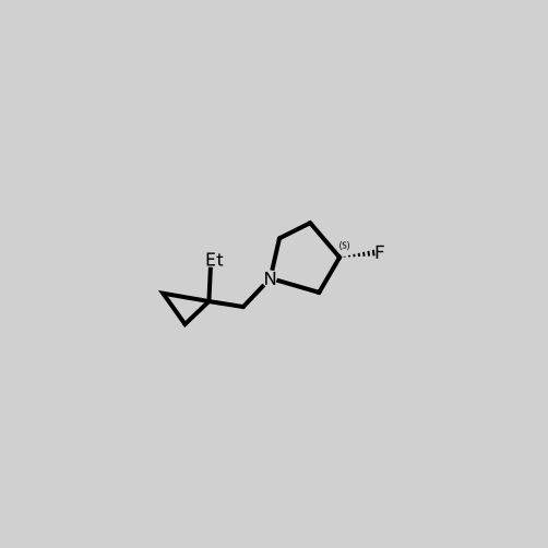 CCC1(CN2CC[C@H](F)C2)CC1